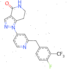 O=C1NCCc2c1cnn2-c1ccnc(Cc2ccc(F)c(C(F)(F)F)c2)c1